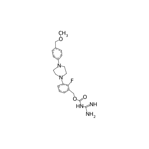 COCc1ccc(N2CCN(c3cccc(COC(=O)NC(=N)N)c3F)CC2)cc1